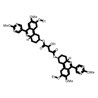 CCOC1=C(OC)C=C2C(c3cnc(OC)nc3)=N[C@H]3CC[C@H](OC(=O)CC(O)C(=O)O[C@H]4CC[C@@H]5N=C(c6cnc(OC)nc6)C6=CC(OC)=C(OCC)CC6=C5C4)CC3=C2C1